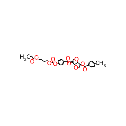 C=CC(=O)OCCCCOC(=O)Oc1ccc(C(=O)O[C@H]2COC3C2OC[C@@H]3OC(=O)c2ccc(C)cc2)cc1